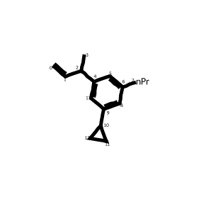 C=C[C](C)c1cc(CCC)cc(C2CC2)c1